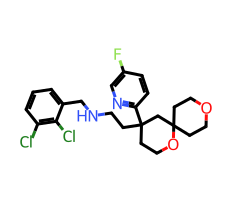 Fc1ccc(C2(CCNCc3cccc(Cl)c3Cl)CCOC3(CCOCC3)C2)nc1